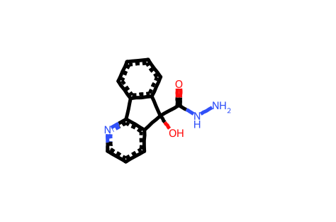 NNC(=O)C1(O)c2ccccc2-c2ncccc21